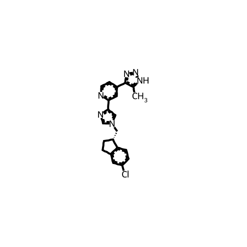 Cc1[nH]nnc1-c1ccnc(-c2cn(C[C@H]3CCc4cc(Cl)ccc43)cn2)c1